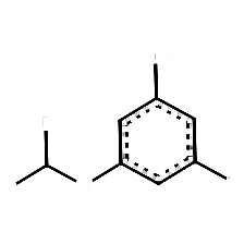 CC(C)c1cc(F)cc(OC(F)F)c1